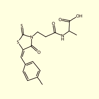 Cc1ccc(/C=C2/SC(=S)N(CCC(=O)NC(C)C(=O)O)C2=O)cc1